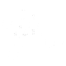 C1=C(c2ccc3c(ccc4ccccc43)c2)NC(C2=NC(c3ccccc3)=NC(c3ccc4ccccc4c3)N2)c2c1oc1ccccc21